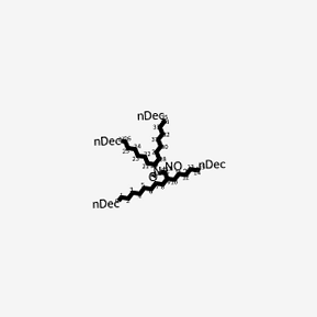 CCCCCCCCCCCCCCCCCCC(CCCCCCCCCCCCCCC)C([N+](=O)[O-])=[N+]([O-])C(CCCCCCCCCCCCCCCC)CCCCCCCCCCCCCCCCC